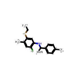 CNC(Nc1cc(SCC(F)(F)F)c(C)cc1F)c1ccc(C(F)(F)F)cc1